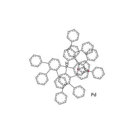 [Pd].c1ccc(-c2ccc([PH](c3ccc(-c4ccccc4)c(-c4ccccc4)c3-c3ccccc3)(c3ccc(-c4ccccc4)c(-c4ccccc4)c3-c3ccccc3)c3ccc(-c4ccccc4)c(-c4ccccc4)c3-c3ccccc3)c(-c3ccccc3)c2-c2ccccc2)cc1